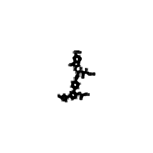 COc1ccc2c(c1)C(=O)N(C[C@@H](C#Cc1ccc(-c3nc(-c4cnn(C)c4)ccc3OC(=O)C(C)(C)C)cc1)NC(=O)NC=O)C2